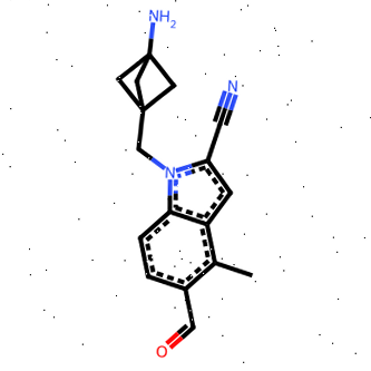 Cc1c(C=O)ccc2c1cc(C#N)n2CC12CC(N)(C1)C2